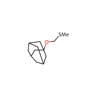 CSCOC12C[C]3CC(CC(C3)C1)C2